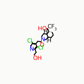 C[C@H]1[C@H]2CCC[C@@H]([C@H](O)C(F)(F)F)[C@@H]2CCN1C(=O)Cc1c(Cl)cnc(CCO)c1Cl